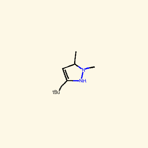 CC1C=C(C(C)(C)C)NN1C